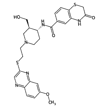 COc1ccc2ncc(SCCN3CC[C@@H](NC(=O)c4ccc5c(c4)NC(=O)CS5)[C@H](CO)C3)nc2c1